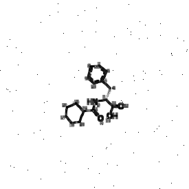 O=C(N[C@H](Cc1ccccc1)C(=O)O)C1CCCCC1